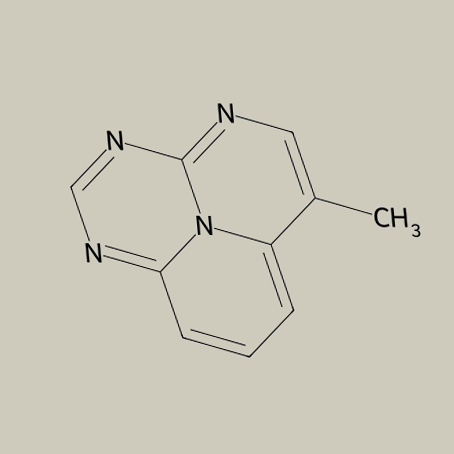 CC1=CN=C2N=CN=C3C=CC=C1N32